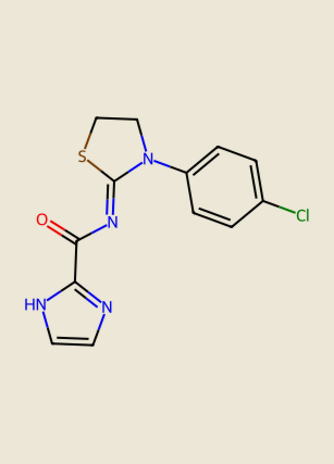 O=C(N=C1SCCN1c1ccc(Cl)cc1)c1ncc[nH]1